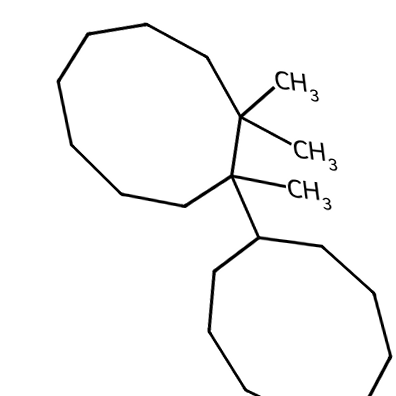 CC1(C)CCCCCCCC1(C)C1CCCCCCCC1